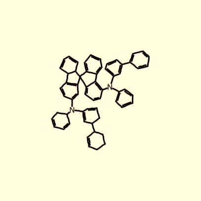 C1=CCC(N(C2=CC(C3C=CCCC3)CC=C2)c2ccc3c(c2)C2(c4ccccc4-c4c(N(c5ccccc5)c5cccc(-c6ccccc6)c5)cccc42)C2C=CC=CC32)C=C1